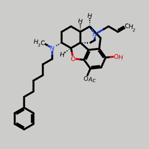 C=CCN1CC[C@]23c4c5c(O)cc(OC(C)=O)c4O[C@H]2[C@H](N(C)CCCCCCc2ccccc2)CC[C@H]3[C@H]1C5